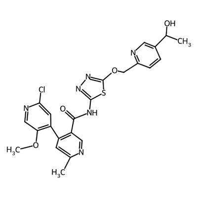 COc1cnc(Cl)cc1-c1cc(C)ncc1C(=O)Nc1nnc(OCc2ccc(C(C)O)cn2)s1